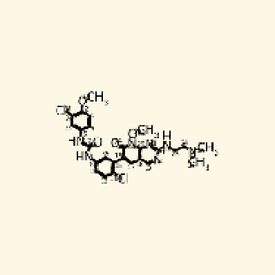 COc1ccc(NC(=O)Nc2ccc(Cl)c(-c3cc4cnc(NCCN(C)C)nc4n(OC)c3=O)c2)cc1Cl